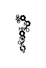 CN1CCN(C(=O)Cn2cc3cc(NC(=O)c4cccc(-c5cccc(S(C)(=O)=O)c5)n4)ccc3n2)CC1